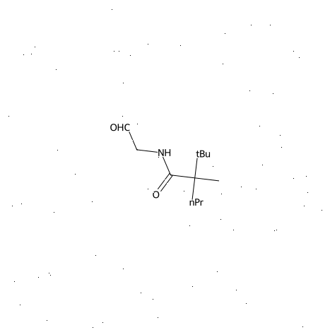 CCCC(C)(C(=O)NCC=O)C(C)(C)C